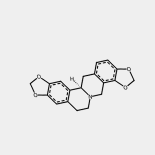 c1cc2c(c3c1C[C@@H]1c4cc5c(cc4CCN1C3)OCO5)OCO2